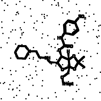 CCCCCCCOC[C@@]12O[C@@H](CNCCN3CCCCC3)[C@@H](OC(=O)Nc3ccc([N+](=O)[O-])cc3)[C@@H]1OC(C)(C)O2